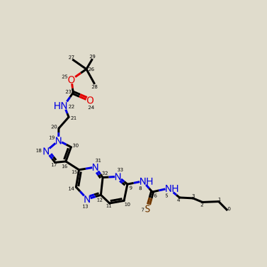 CCCCCNC(=S)Nc1ccc2ncc(-c3cnn(CCNC(=O)OC(C)(C)C)c3)nc2n1